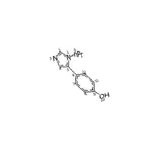 CCCn1cncc1-c1ccc(O)cc1